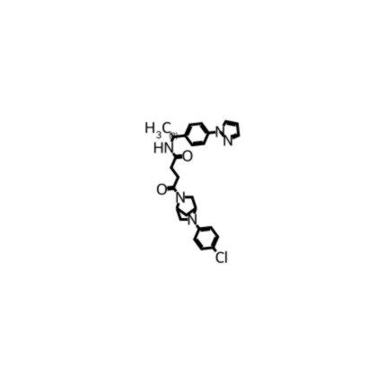 C[C@@H](NC(=O)CCC(=O)N1CC2CC1CN2c1ccc(Cl)cc1)c1ccc(-n2cccn2)cc1